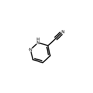 N#CC1=CC=C[N]N1